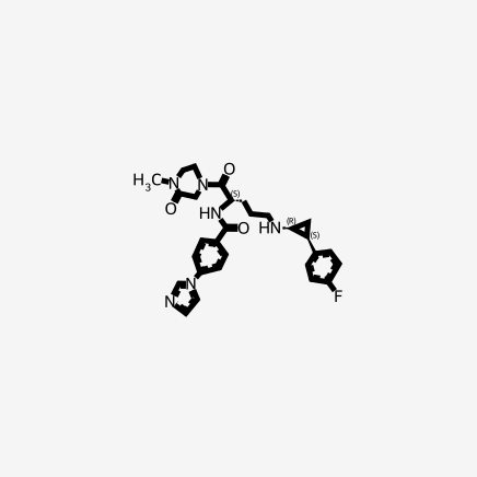 CN1CCN(C(=O)[C@H](CCCN[C@@H]2C[C@H]2c2ccc(F)cc2)NC(=O)c2ccc(-n3ccnc3)cc2)CC1=O